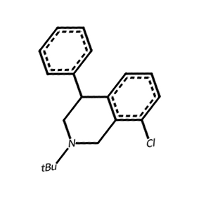 CC(C)(C)N1Cc2c(Cl)cccc2C(c2ccccc2)C1